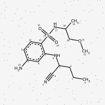 CCCC(C#N)Nc1cc(N)ccc1S(=O)(=O)NC(C)COC